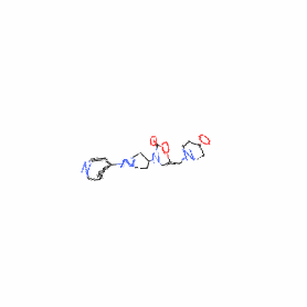 O=C1CCN(CC2CN(C3CCN(c4ccncc4)CC3)C(=O)O2)CC1